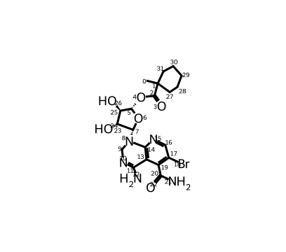 CC1(C(=O)O[C@@H]2O[C@H](N3CN=C(N)c4c3ncc(Br)c4C(N)=O)[C@H](O)[C@H]2O)CCCCC1